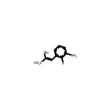 CC(C)(C)/C(=C\c1cccc(N)c1F)C(=O)O